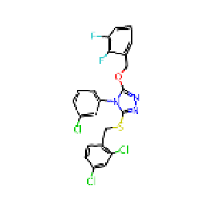 Fc1cccc(COc2nnc(SCc3ccc(Cl)cc3Cl)n2-c2cccc(Cl)c2)c1F